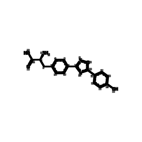 N[C@@H](Cc1ccc(-c2noc(-c3ccc(O)cc3)n2)cc1)C(=O)O